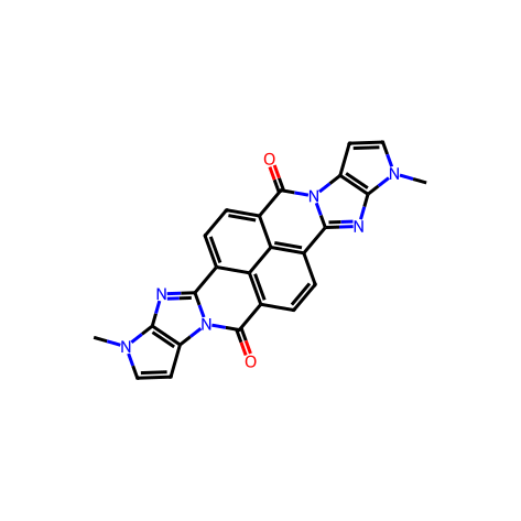 Cn1ccc2c1nc1c3ccc4c(=O)n5c6ccn(C)c6nc5c5ccc(c(=O)n21)c3c45